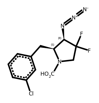 [N-]=[N+]=N[C@@H]1[C@H](Cc2cccc(Cl)c2)N(C(=O)O)CC1(F)F